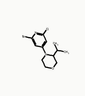 CC(C)C1COCCN1c1cc(Cl)nc(Br)c1